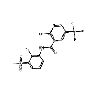 [2H]c1c(NC(=O)c2cc(C(F)(F)F)cnc2Cl)cccc1S(C)(=O)=O